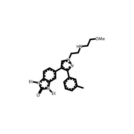 CCn1c(=O)n(CC)c2cc(-c3cn(CCNCCOC)nc3-c3cccc(C)c3)ccc21